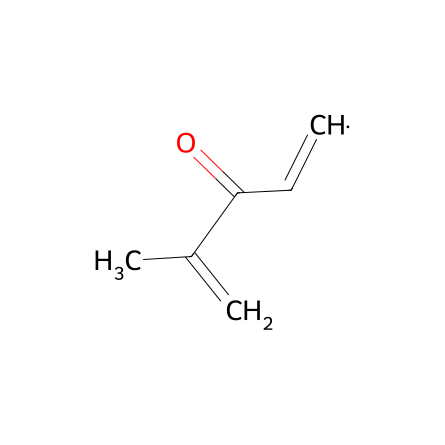 [CH]=CC(=O)C(=C)C